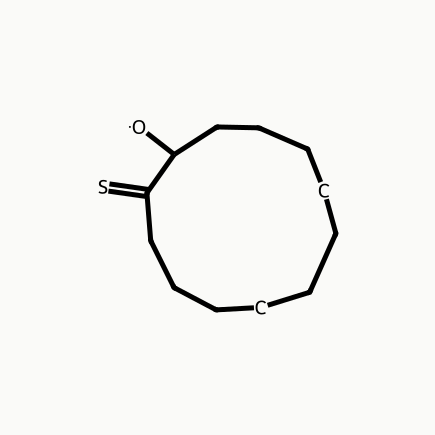 [O]C1CCCCCCCCCCC1=S